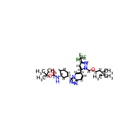 CC(C)(C)OC(=O)N[C@@H]1CCC[C@H](c2nnc3ccc(-c4cc(C(F)(F)F)nn4COCC[Si](C)(C)C)cn23)C1